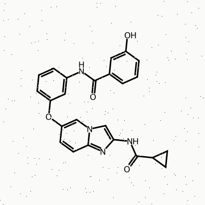 O=C(Nc1cccc(Oc2ccc3nc(NC(=O)C4CC4)cn3c2)c1)c1cccc(O)c1